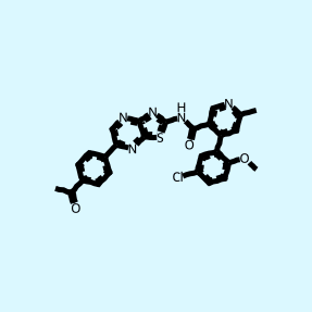 COc1ccc(Cl)cc1-c1cc(C)ncc1C(=O)Nc1nc2ncc(-c3ccc(C(C)=O)cc3)nc2s1